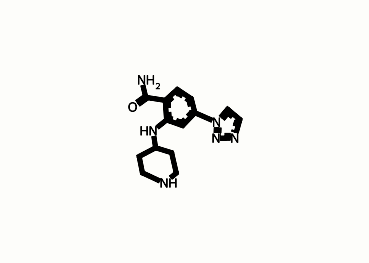 NC(=O)c1ccc(-n2ccnn2)cc1NC1CCNCC1